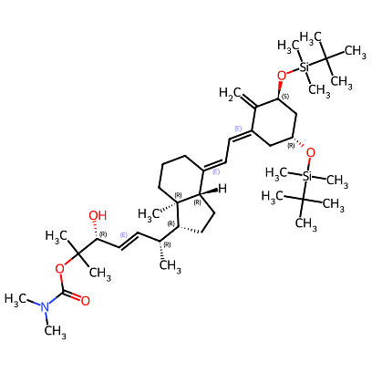 C=C1/C(=C/C=C2\CCC[C@]3(C)[C@@H]([C@H](C)/C=C/[C@@H](O)C(C)(C)OC(=O)N(C)C)CC[C@@H]23)C[C@@H](O[Si](C)(C)C(C)(C)C)C[C@@H]1O[Si](C)(C)C(C)(C)C